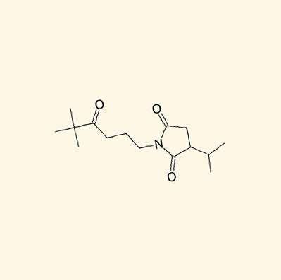 CC(C)C1CC(=O)N(CCCC(=O)C(C)(C)C)C1=O